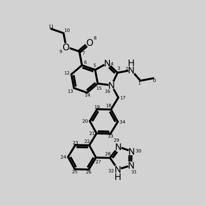 CCNc1nc2c(C(=O)OCC)cccc2n1Cc1ccc(-c2ccccc2-c2nnn[nH]2)cc1